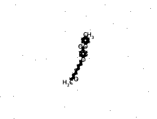 C=CC(=O)CCCCCCCOc1ccc(C(=O)Oc2ccc(C)cc2)cc1